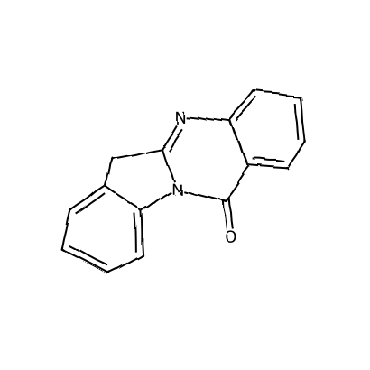 O=c1c2ccccc2nc2n1-c1ccccc1C2